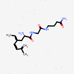 C=C(C)/C=C\C(=C/C)C[C@H](N)C(=O)NCC(=O)NCCCC(N)=O